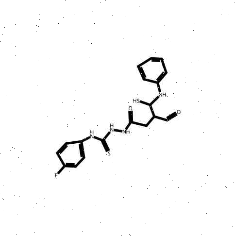 O=CC(CC(=O)NNC(=S)Nc1ccc(F)cc1)C(S)Nc1ccccc1